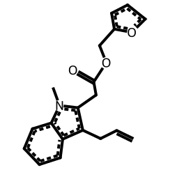 C=CCc1c(CC(=O)OCc2ccco2)n(C)c2ccccc12